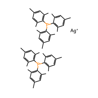 Cc1cc(C)c(P(c2c(C)cc(C)cc2C)c2c(C)cc(C)cc2C)c(C)c1.Cc1cc(C)c(P(c2c(C)cc(C)cc2C)c2c(C)cc(C)cc2C)c(C)c1.[Ag+]